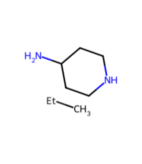 CCC.NC1CCNCC1